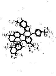 Cc1cc2c(cc1N1c3cc(C(C)(C)C)cc4c3B(c3ccc5c(c31)C(C)(C)CCC5(C)C)c1c(sc3ccc(C(C)(C)C)cc13)N4c1ccc(C(C)(C)C)cc1)C(C)(C)CCC2(C)C